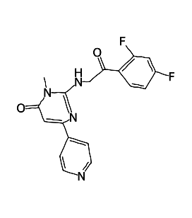 Cn1c(NCC(=O)c2ccc(F)cc2F)nc(-c2ccncc2)cc1=O